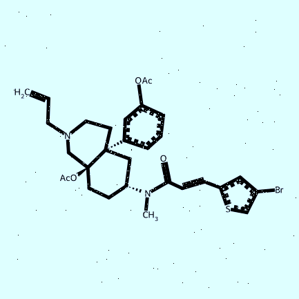 C=CCN1CC[C@@]2(c3cccc(OC(C)=O)c3)C[C@H](N(C)C(=O)/C=C/c3cc(Br)cs3)CC[C@]2(OC(C)=O)C1